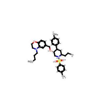 COCCCN1CCOc2ccc(CO[C@H]3CN(S(=O)(=O)c4ccc(C)cc4)C(CCC(C)=O)CC3c3ccc(OC)cc3)cc21